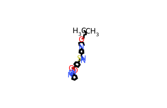 CC(C)CCCOC1CCN(c2ccc(-c3nnc(-c4ccc(C(=O)On5nnc6ccccc65)cc4)s3)cc2)CC1